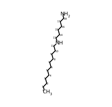 CCCCCCCCCCCCNCCCCCCN